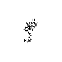 [2H]c1c2cccc(C#CCCCN)c2c([2H])n1C1CCC(=O)NC1=O